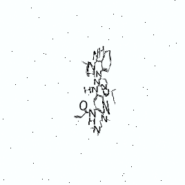 C=CC(=O)Nc1cc(Nc2nccc(Nc3ccccc3C(=N)N(C)C)n2)c(OC(C)C)nc1N(C)CCN(C)C